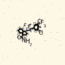 NC(=O)c1ccc(C/C=C(/c2cc(Cl)cc(C(F)(F)F)c2)C(F)(F)F)c2ccccc12